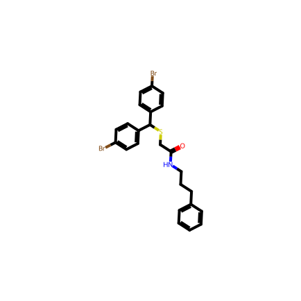 O=C(CSC(c1ccc(Br)cc1)c1ccc(Br)cc1)NCCCc1ccccc1